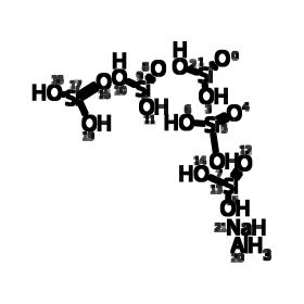 O=[Si](O)O.O=[Si](O)O.O=[Si](O)O.O=[Si](O)O.O=[Si](O)O.[AlH3].[NaH]